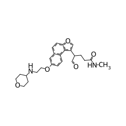 CNC(=O)CCC(C=O)c1coc2ccc3cc(OCCNC4CCOCC4)ccc3c12